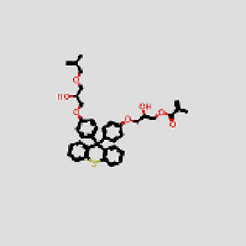 C=C(C)COCC(O)COc1ccc(C2(c3ccc(OCC(O)COC(=O)C(=C)C)cc3)c3ccccc3Sc3ccccc32)cc1